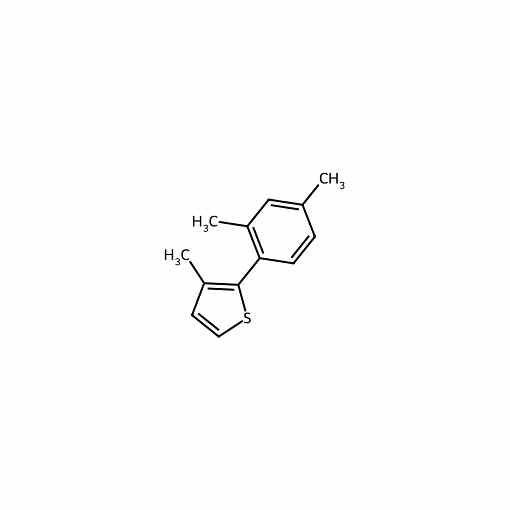 Cc1ccc(-c2sccc2C)c(C)c1